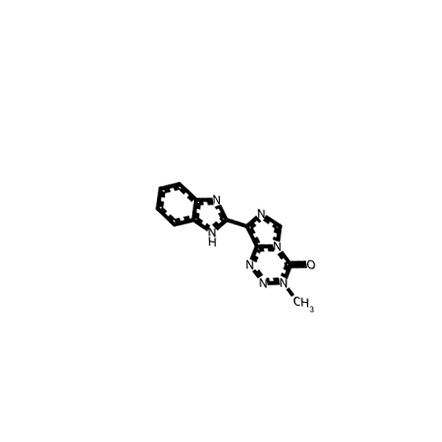 Cn1nnc2c(-c3nc4ccccc4[nH]3)ncn2c1=O